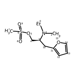 CCN(C)[C@H](COS(C)(=O)=O)Cc1ccco1